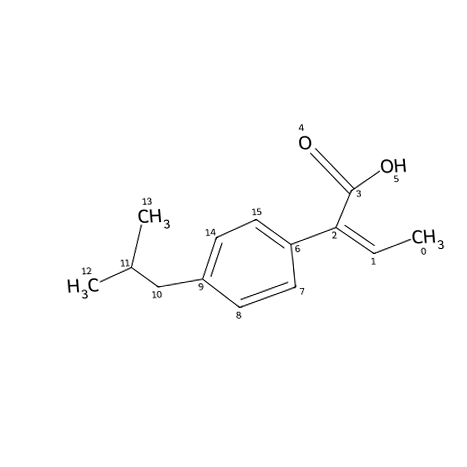 CC=C(C(=O)O)c1ccc(CC(C)C)cc1